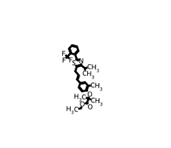 CCOC(=O)C(C)(C)Oc1ccc(C=CCc2sc(-c3ccccc3C(F)(F)F)nc2C(C)C)cc1C